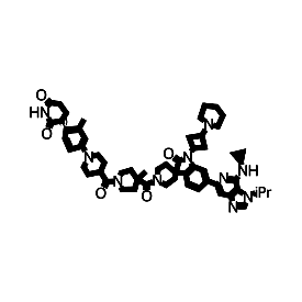 Cc1cc(N2CCC(C(=O)N3CCC(C)(C(=O)N4CCC5(CC4)C(=O)N(C4CC(N6CCCCC6)C4)c4cc(-c6cc7ncn(C(C)C)c7c(NC7CC7)n6)ccc45)CC3)CC2)ccc1[C@H]1CCC(=O)NC1=O